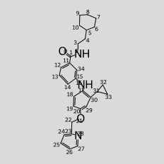 O=C(NCCC1CCCCC1)c1cccc(Nc2ccc(OCc3ccccn3)cc2C2CC2)c1